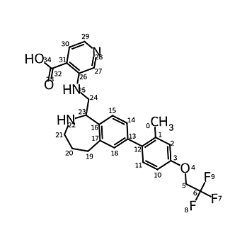 Cc1cc(OCC(F)(F)F)ccc1-c1ccc2c(c1)CCCNC2CNc1cnccc1C(=O)O